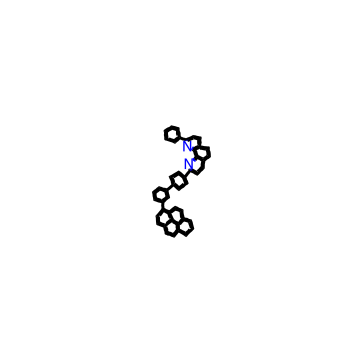 c1ccc(-c2ccc3ccc4ccc(-c5ccc(-c6cccc(-c7ccc8ccc9cccc%10ccc7c8c9%10)c6)cc5)nc4c3n2)cc1